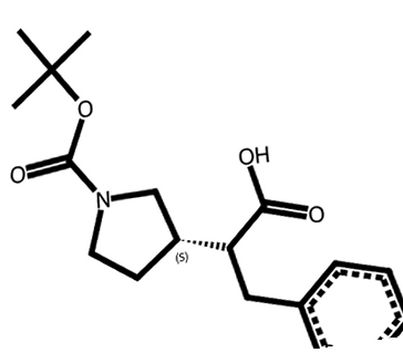 CC(C)(C)OC(=O)N1CC[C@@H](C(Cc2ccccc2)C(=O)O)C1